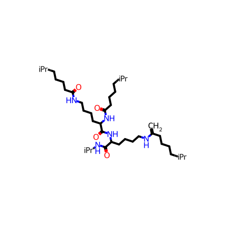 C=C(CCCCC(C)C)NCCCCC(NC(=O)C(CCCCNC(=O)CCCCC(C)C)NC(=O)CCCCC(C)C)C(=O)NC(C)C